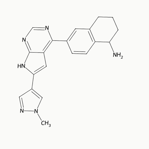 Cn1cc(-c2cc3c(-c4ccc5c(c4)CCCC5N)ncnc3[nH]2)cn1